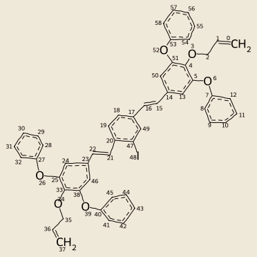 C=CCOc1c(Oc2ccccc2)cc(C=Cc2ccc(C=Cc3cc(Oc4ccccc4)c(OCC=C)c(Oc4ccccc4)c3)c(I)c2)cc1Oc1ccccc1